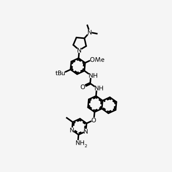 COc1c(NC(=O)Nc2ccc(Oc3cc(C)nc(N)n3)c3ccccc23)cc(C(C)(C)C)cc1N1CCC(N(C)C)C1